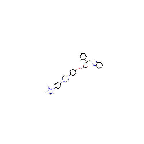 CCC(C)n1cnn(C2=CCC(N3CCN(c4ccc(OCC5COC(Cn6nc7ccccc7n6)(c6ccc(F)cc6F)O5)cc4)CC3)C=C2)c1=N